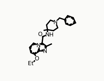 CCOc1cccn2c(C(=O)NC3(C)CCN(Cc4ccccc4)CC3)c(C)nc12